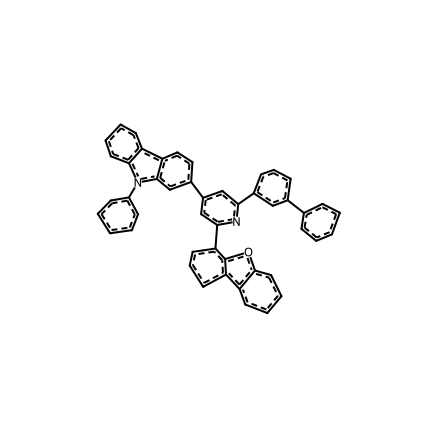 c1ccc(-c2cccc(-c3cc(-c4ccc5c6ccccc6n(-c6ccccc6)c5c4)cc(-c4cccc5c4oc4ccccc45)n3)c2)cc1